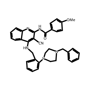 COc1ccc(C(=O)Nc2nc3ccccc3c(NCc3ccccc3N3CCN(Cc4ccccc4)CC3)c2C#N)cc1